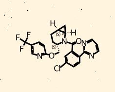 O=C(c1cc(Cl)ccc1-c1ncccn1)N1[C@H](COc2ccc(C(F)(F)F)cn2)CC[C@H]2C[C@H]21